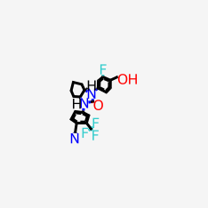 N#Cc1ccc(N2C(=O)N(c3ccc(CO)c(F)c3)[C@H]3CCCC[C@@H]32)cc1C(F)(F)F